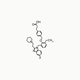 CCc1cccc(Cn2c(CCN3CCCCC3)nc3cc(F)ccc32)c1OCc1ccc(CCC(=O)O)cc1